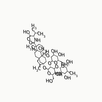 C=C1C[C@@]23CC[C@H]4[C@@](C)(CCC[C@@]4(C)C(=O)N[C@H](C(=O)O)C(C)C)[C@@H]2CC[C@]1(O[C@@H]1O[C@H](CO)[C@@H](O)[C@H](O[C@@H]2O[C@H](CO)[C@@H](C)[C@H](O)[C@H]2O)[C@H]1O[C@@H]1O[C@H](CO)[C@@H](O)[C@H](O)[C@H]1O)C3